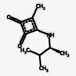 Cc1c(N[C@@H](C)C(C)C)c(=O)c1=O